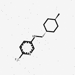 C[C@H]1CC[C@H](CNc2ccc(C(F)(F)F)nc2)CC1